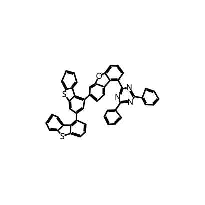 c1ccc(-c2nc(-c3ccccc3)nc(-c3cccc4oc5cc(-c6cc(-c7cccc8sc9ccccc9c78)cc7sc8ccccc8c67)ccc5c34)n2)cc1